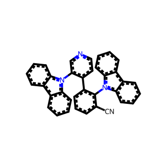 N#Cc1cccc(-c2ccncc2-n2c3ccccc3c3ccccc32)c1-n1c2ccccc2c2ccccc21